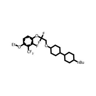 CCCCC1CCC(C2CCC(OCC(F)(F)Oc3ccc(OCC)c(C(F)(F)F)c3F)CC2)CC1